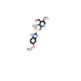 COc1ccc2[nH]c([S+]([O-])Cc3ncc(C)c(C=O)c3C)nc2c1